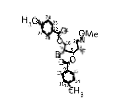 CON=C[C@@H](F)[C@H](OC(=O)c1ccc(C)cc1)[C@@H](Br)COC(=O)c1ccc(C)cc1